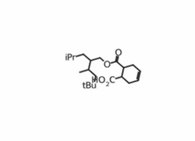 CC(C)CC(COC(=O)C1CC=CCC1C(=O)O)C(C)CC(C)(C)C